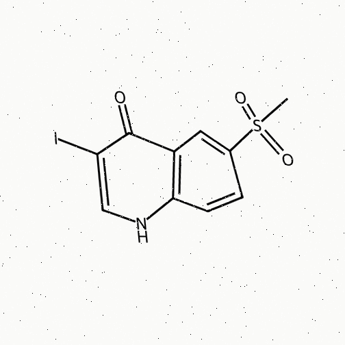 CS(=O)(=O)c1ccc2[nH]cc(I)c(=O)c2c1